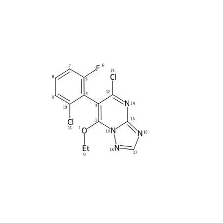 CCOc1c(-c2c(F)cccc2Cl)c(Cl)nc2ncnn12